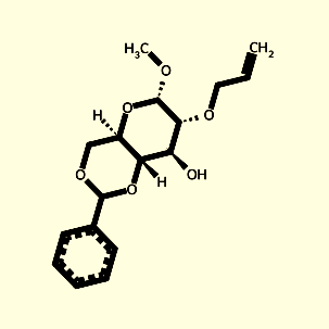 C=CCO[C@H]1[C@@H](OC)O[C@@H]2COC(c3ccccc3)O[C@H]2[C@@H]1O